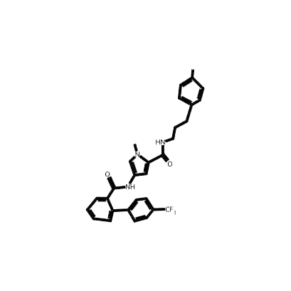 Cc1ccc(CCCNC(=O)c2cc(NC(=O)c3ccccc3-c3ccc(C(F)(F)F)cc3)cn2C)cc1